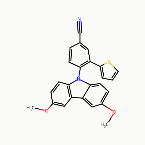 COc1ccc2c(c1)c1cc(OC)ccc1n2-c1ccc(C#N)cc1-c1cccs1